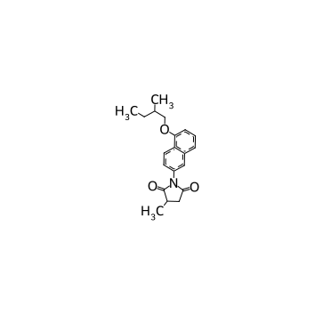 CCC(C)COc1cccc2cc(N3C(=O)CC(C)C3=O)ccc12